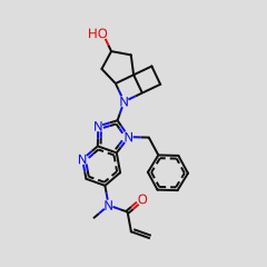 C=CC(=O)N(C)c1cnc2nc(N3C4CCC45CC(O)CC35)n(Cc3ccccc3)c2c1